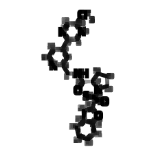 O=C(NCc1cc(-c2cnc(C(F)(F)F)cn2)ccn1)[C@@H]1CCCN1S(=O)(=S)c1cc2ccccc2o1